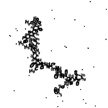 CC[C@@]1(O)C(=O)OCc2c1cc1n(c2=O)Cc2c-1nc1cc(F)c(OC)cc1c2CN1CCC([N+](C)(C)Cc2ccc(NC(=O)[C@H](C)NC(=O)CNC(=O)CNC(=O)CNC(=O)CCN(CCN3C(=O)C=CC3=O)S(=O)(=O)CCOCCOC)cc2)CC1